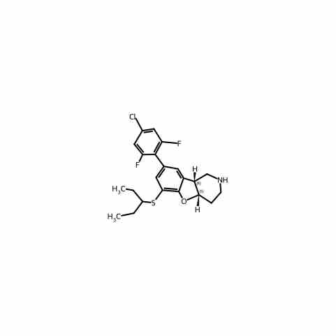 CCC(CC)Sc1cc(-c2c(F)cc(Cl)cc2F)cc2c1O[C@H]1CCNC[C@@H]21